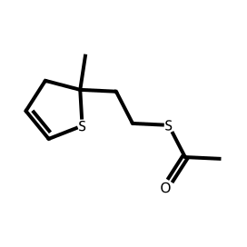 CC(=O)SCCC1(C)CC=CS1